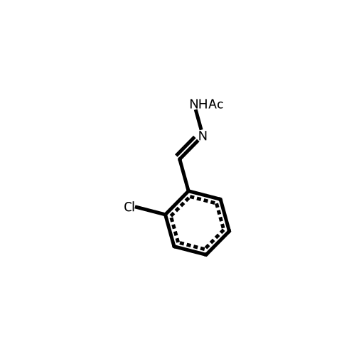 [CH2]C(=O)NN=Cc1ccccc1Cl